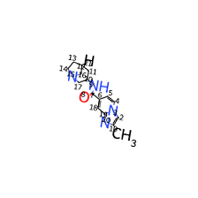 Cc1cn2ccc(C(=O)N[C@@H]3C[C@@H]4CCN(C4)C3)cc2n1